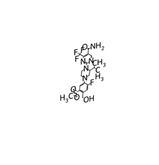 CC(C)C1CN(c2cc(S(C)(=O)=O)c(CO)cc2F)CCN1c1ncc(C(N)=O)c(C(F)(F)F)n1